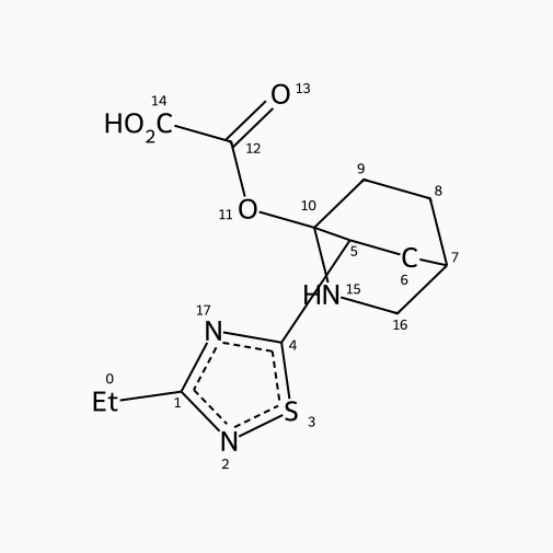 CCc1nsc(C2CC3CCC2(OC(=O)C(=O)O)NC3)n1